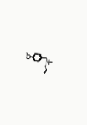 C=CCN(C)Cc1ccc(OC)cc1